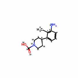 Cc1c(N)cccc1C1CCN(C(=O)O)CC1